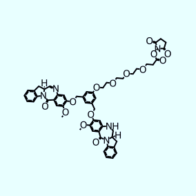 COc1cc2c(cc1OCc1cc(COc3cc4c(cc3OC)C(=O)N3c5ccccc5C[C@H]3CN4)cc(OCCOCCOCCOCCC(=O)ON3C(=O)CCC3=O)c1)N=C[C@@H]1Cc3ccccc3N1C2=O